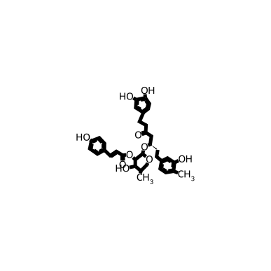 Cc1ccc(CC[C@@H](CC(=O)CCc2ccc(O)c(O)c2)OC2OCC(C)C(O)C2OC(=O)/C=C/c2ccc(O)cc2)cc1O